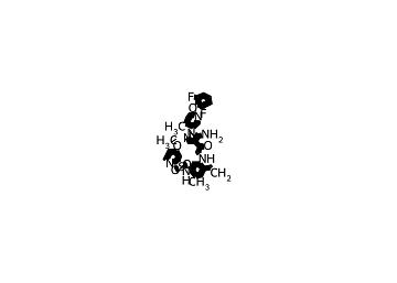 C=Cc1cc(C)c(NS(=O)(=O)c2cc(OC)ccn2)cc1NCC(=O)c1cnn(-c2cnc(Oc3c(F)cccc3F)cc2C)c1N